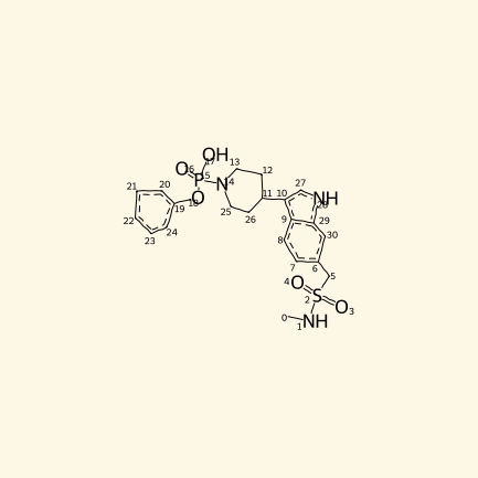 CNS(=O)(=O)Cc1ccc2c(C3CCN(P(=O)(O)Oc4ccccc4)CC3)c[nH]c2c1